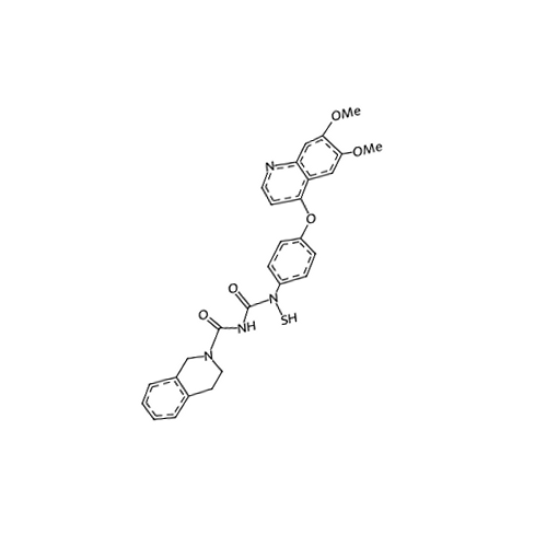 COc1cc2nccc(Oc3ccc(N(S)C(=O)NC(=O)N4CCc5ccccc5C4)cc3)c2cc1OC